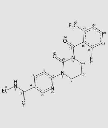 CCNC(=O)c1ccc(N2CCCN(C(=O)c3c(F)cccc3C(F)(F)F)C2=O)nc1